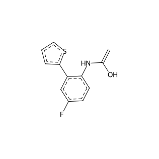 C=C(O)Nc1ccc(F)cc1-c1cccs1